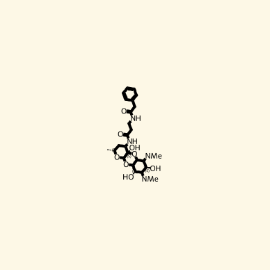 CNC1C2O[C@@]3(O)C(NC(=O)CCNC(=O)Cc4ccccc4)C[C@@H](C)OC3OC2[C@@H](O)C(NC)[C@@H]1O